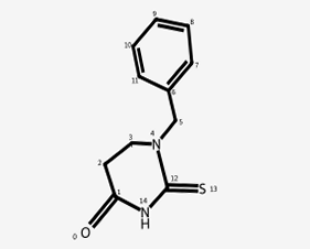 O=C1C[CH]N(Cc2ccccc2)C(=S)N1